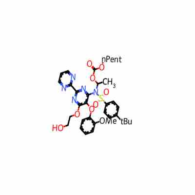 CCCCCOC(=O)OC(C)N(c1nc(-c2ncccn2)nc(OCCO)c1Oc1ccccc1OC)S(=O)(=O)c1ccc(C(C)(C)C)cc1